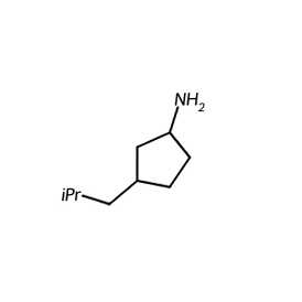 CC(C)CC1CCC(N)C1